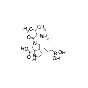 CC(C)[C@H](N)C(=O)N1C[C@@]2(CCCB(O)O)CCN[C@@]2(C(=O)O)C1